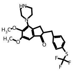 COc1cc2c(c(N3CCNCC3)c1OC)CC(Cc1ccc(SC(F)(F)F)cc1)C2=O